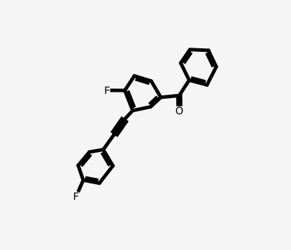 O=C(c1ccccc1)c1ccc(F)c(C#Cc2ccc(F)cc2)c1